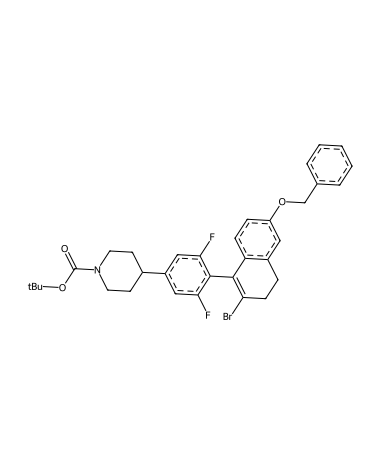 CC(C)(C)OC(=O)N1CCC(c2cc(F)c(C3=C(Br)CCc4cc(OCc5ccccc5)ccc43)c(F)c2)CC1